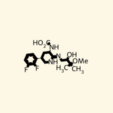 COC(C)(C)C(O)C/N=C1\NC[C@H](c2cccc(F)c2F)C[C@@H]1NC(=O)O